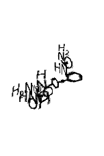 NCC(=O)Nc1ccccc1C#Cc1ccc(C(=O)N[C@@H](CN)C(=O)NO)cc1